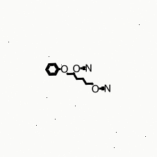 N#COCCCCC(COc1ccccc1)OC#N